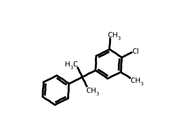 Cc1cc(C(C)(C)c2ccccc2)cc(C)c1Cl